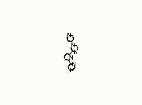 C1=NC(c2cccc(-c3cnccn3)n2)=CN(c2ccncc2)C1